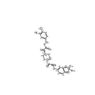 O=C(COc1ccc(Cl)c(F)c1)N[C@@H]1CC[C@@H](C(=O)NCc2ccc3c(c2)OC(F)(F)O3)OC1